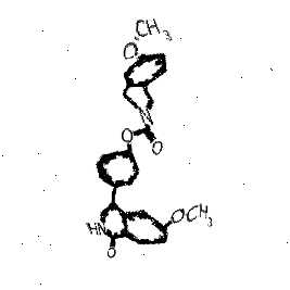 COc1ccc2c(c1)CN(C(=O)Oc1ccc(-c3c[nH]c(=O)c4ccc(OC)cc34)cc1)C2